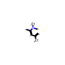 C=C(/C=C(/C)N(C)CC)CC